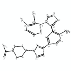 CC(=O)N1CCC(n2cc(-c3cnc(N)c(-c4nnnn4-c4cccc(F)c4Cl)c3)cn2)CC1